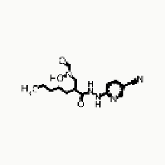 CCCCCC(CN(O)C=O)C(=O)NNc1ccc(C#N)cn1